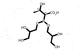 C[C@@H](O)[C@@H](C(=O)O)N(OCC(O)CO)OCC(O)CO